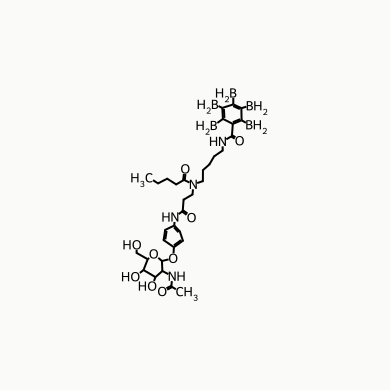 Bc1c(B)c(B)c(C(=O)NCCCCCN(CCC(=O)Nc2ccc(OC3OC(CO)C(O)C(O)C3NC(C)=O)cc2)C(=O)CCCC)c(B)c1B